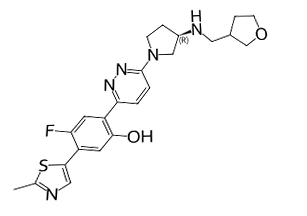 Cc1ncc(-c2cc(O)c(-c3ccc(N4CC[C@@H](NCC5CCOC5)C4)nn3)cc2F)s1